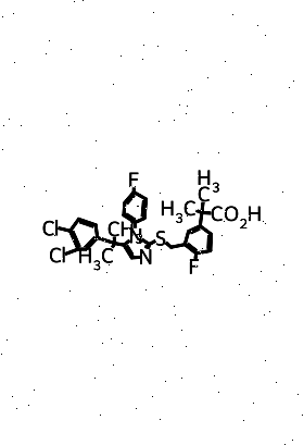 CC(C)(C(=O)O)c1ccc(F)c(CSc2ncc(C(C)(C)c3ccc(Cl)c(Cl)c3)n2-c2ccc(F)cc2)c1